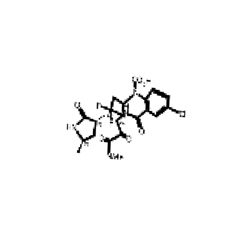 CNC(=O)C(=O)[C@H](C[C@@H]1C[C@@H](C)NC1=O)NC(=O)c1cc(Cl)ccc1N(C(=O)O)C1CC(F)(F)C1